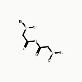 CC[S+]([O-])CC(=O)OC(=O)C[S+]([O-])CC